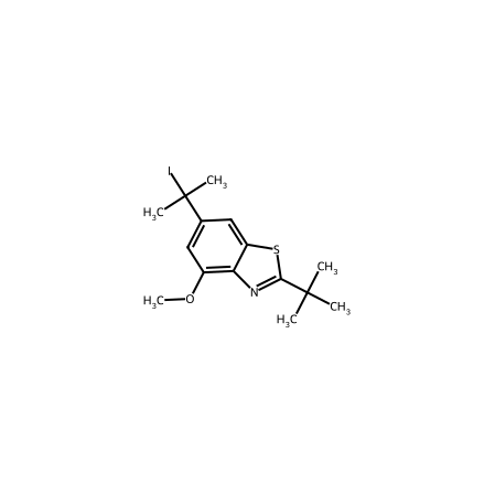 COc1cc(C(C)(C)I)cc2sc(C(C)(C)C)nc12